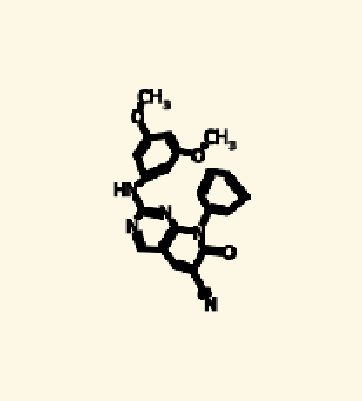 COc1cc(Nc2ncc3cc(C#N)c(=O)n(-c4ccccc4)c3n2)cc(OC)c1